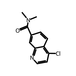 CN(C)C(=O)c1ccc2c(Cl)ccnc2c1